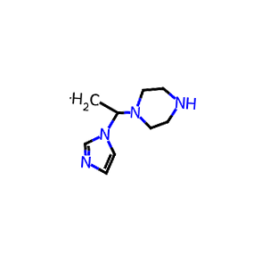 [CH2]C(N1CCNCC1)n1ccnc1